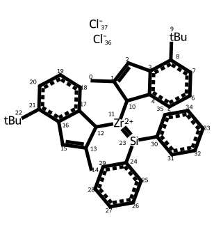 CC1=Cc2c(cccc2C(C)(C)C)[CH]1[Zr+2]([CH]1C(C)=Cc2c1cccc2C(C)(C)C)=[Si](c1ccccc1)c1ccccc1.[Cl-].[Cl-]